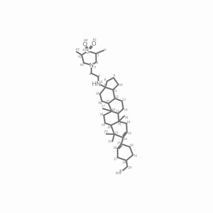 CC1CN(CCNC23CCCC2C2CCC4C(C)(CCC5C(C)(C)C(C6=CCC(CF)CC6)=CCC54C)C2CC3)CC(C)S1(=O)=O